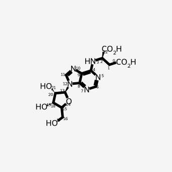 O=C(O)C[C@@H](Nc1ncnc2c1ncn2[C@H]1OC(CO)[C@H](O)[C@@H]1O)C(=O)O